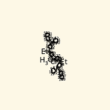 CCC1(c2ccc(N(c3ccccc3)c3ccc4ccccc4c3)cc2)Cc2cc3c(cc21)C(C)(C)c1cc2c(cc1-3)C2(CC)c1ccc(N(c2ccccc2)c2ccc3ccccc3c2)cc1